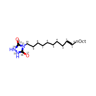 CCCCCCCCC=CCCCCCCCCn1c(=O)[nH][nH]c1=O